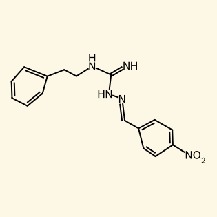 N=C(NCCc1ccccc1)N/N=C/c1ccc([N+](=O)[O-])cc1